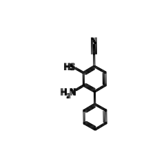 N#Cc1ccc(-c2ccccc2)c(N)c1S